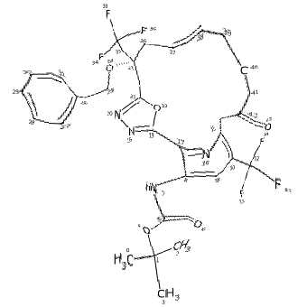 CC(C)(C)OC(=O)Nc1cc(C(F)(F)F)c2nc1-c1nnc(o1)[C@@](OCc1ccccc1)(C(F)(F)F)C/C=C/CCCC2=O